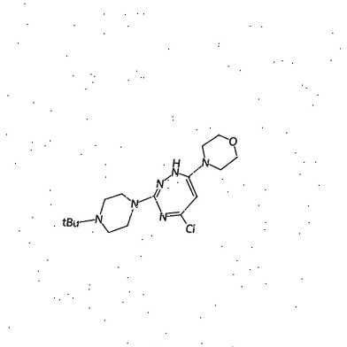 CC(C)(C)N1CCN(C2=NNC(N3CCOCC3)=CC(Cl)=N2)CC1